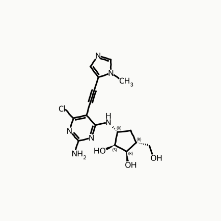 Cn1cncc1C#Cc1c(Cl)nc(N)nc1N[C@@H]1C[C@H](CO)[C@@H](O)[C@H]1O